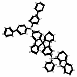 c1ccc(-c2ccc(N(c3ccc(-c4ccccc4)cc3)c3ccc4c(c3)-c3ccccc3C43c4ccccc4-c4cc(N(c5ccccc5)c5cccc6c5sc5ccccc56)ccc43)cc2)cc1